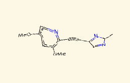 COc1cnc(C#CC2=NC(C)N=C2)c(OC)c1